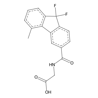 Cc1cccc2c1-c1cc(C(=O)NCC(=O)O)ccc1C2(F)F